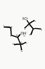 CC(C)C(C)(C)O.CCCC(O)C(C)(C)C